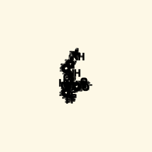 CC(C)(C)NCc1ccc2c(c1)CCCC2NC(=O)CC(NS(=O)(=O)c1cccc(C(F)(F)F)c1)c1cccc([N+](=O)[O-])c1